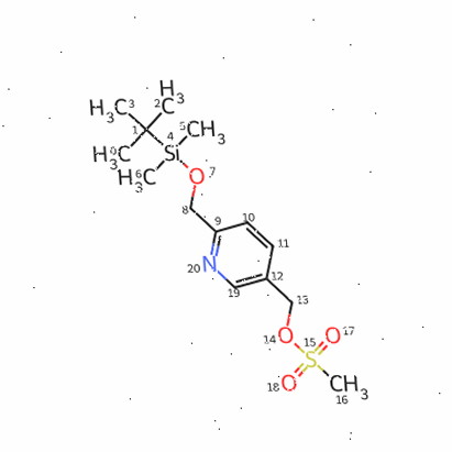 CC(C)(C)[Si](C)(C)OCc1ccc(COS(C)(=O)=O)cn1